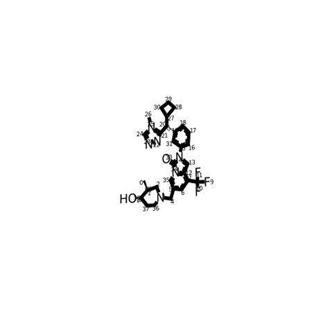 C[C@H]1CN(Cc2cc(C(F)(F)F)c3cn(-c4cccc([C@H](c5nncn5C)C5CCC5)c4)c(=O)n3c2)CC[C@@H]1O